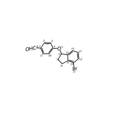 O=Cc1ccc(OC2CCc3c(Br)cccc32)cc1